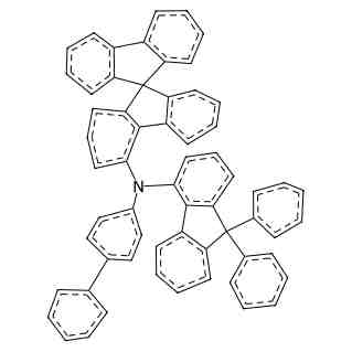 c1ccc(-c2ccc(N(c3cccc4c3-c3ccccc3C4(c3ccccc3)c3ccccc3)c3cccc4c3-c3ccccc3C43c4ccccc4-c4ccccc43)cc2)cc1